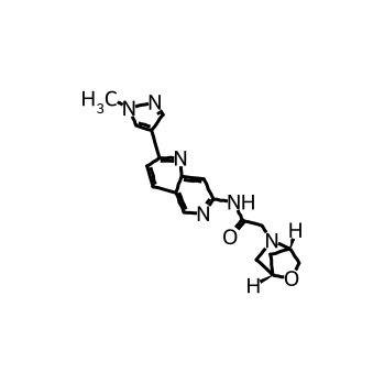 Cn1cc(-c2ccc3cnc(NC(=O)CN4C[C@@H]5C[C@H]4CO5)cc3n2)cn1